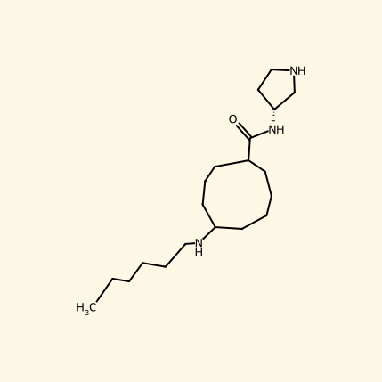 CCCCCCNC1CCCCC(C(=O)N[C@@H]2CCNC2)CCC1